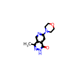 Cc1n[nH]c(=O)c2cc(N3CCOCC3)ncc12